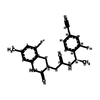 Cc1cc(F)c2c(c1)NC(=O)N(CC(=O)N[C@@H](C)c1ccc(C#N)cc1F)C2